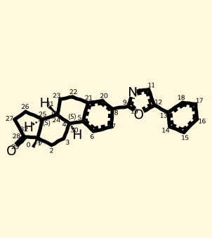 C[C@]12CC[C@@H]3c4ccc(-c5ncc(-c6ccccc6)o5)cc4CC[C@H]3[C@@H]1CCC2=O